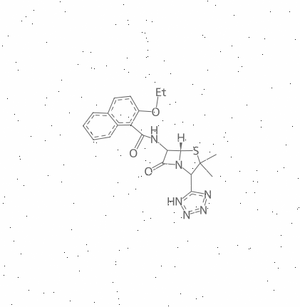 CCOc1ccc2ccccc2c1C(=O)NC1C(=O)N2C(c3nnn[nH]3)C(C)(C)S[C@@H]12